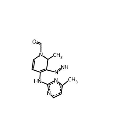 Cc1ccnc(NC2=C(N=N)C(C)N(C=O)C=C2)n1